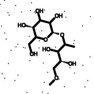 COC[C@@H](O)C(O)C(C)O[C@@H]1OC(CO)[C@H](O)C(O)C1O